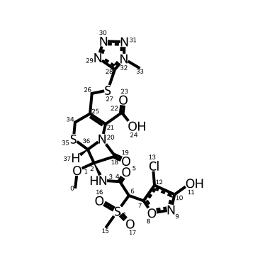 CO[C@@]1(NC(=O)C(c2onc(O)c2Cl)S(C)(=O)=O)C(=O)N2C(C(=O)O)=C(CSc3nnnn3C)CS[C@H]21